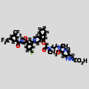 CN(CCCN(C)C(=O)c1ccc(CNC(=O)O)cn1)C(=O)CO[C@H]1Cc2ccccc2C12CCN(CC[C@]1(c3ccc(F)cc3)CN(C(=O)c3cc(C(F)(F)F)cc(C(F)(F)F)c3)CO1)CC2